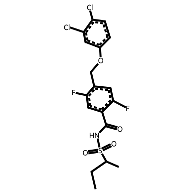 CCC(C)S(=O)(=O)NC(=O)c1cc(F)c(COc2ccc(Cl)c(Cl)c2)cc1F